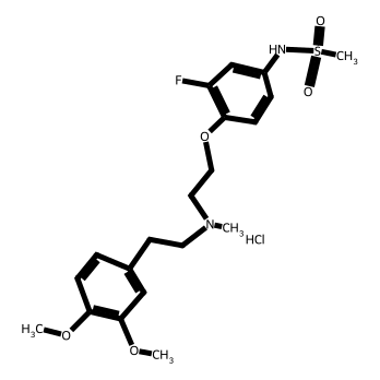 COc1ccc(CCN(C)CCOc2ccc(NS(C)(=O)=O)cc2F)cc1OC.Cl